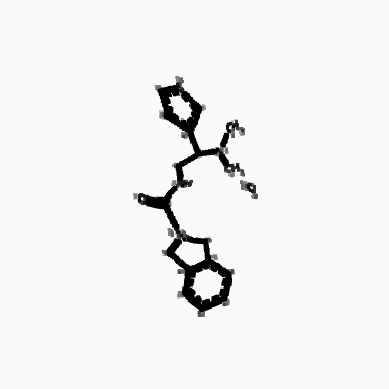 CN(C)C(CNC(=O)N1Cc2ccccc2C1)c1ccsc1.Cl